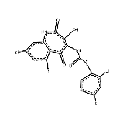 O=C(Nc1ccc(Cl)cc1Cl)Nc1c(O)c(=O)[nH]c2cc(Cl)cc(I)c2c1=O